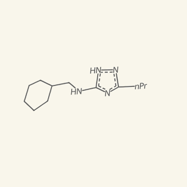 CCCc1n[nH]c(NCC2CCCCC2)n1